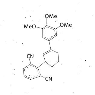 COc1cc(C2=CC(c3c(C#N)cccc3C#N)CCC2)cc(OC)c1OC